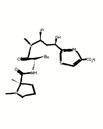 CC[C@H](C)[C@H](NC(=O)[C@@]1(C)CCCN1C)C(=O)N(C)[C@H](C[C@@H](O)c1nc(C(=O)O)cs1)C(C)C